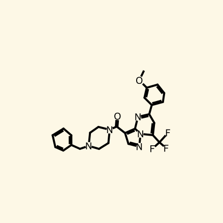 COc1cccc(-c2cc(C(F)(F)F)n3ncc(C(=O)N4CCN(Cc5ccccc5)CC4)c3n2)c1